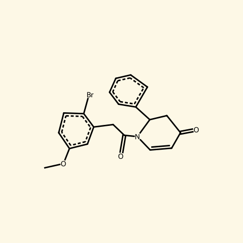 COc1ccc(Br)c(CC(=O)N2C=CC(=O)CC2c2ccccc2)c1